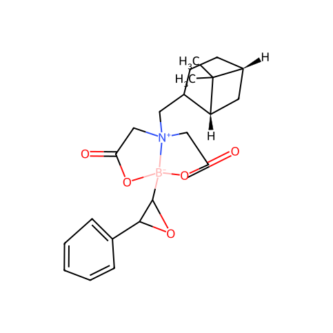 CC1(C)[C@@H]2CCC(C[N+]34CC(=O)O[B-]3(C3OC3c3ccccc3)OC(=O)C4)[C@H]1C2